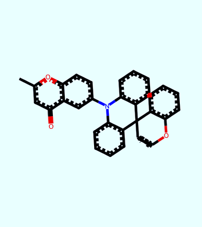 Cc1cc(=O)c2cc(N3c4ccccc4C4(c5ccccc5Oc5ccccc54)c4ccccc43)ccc2o1